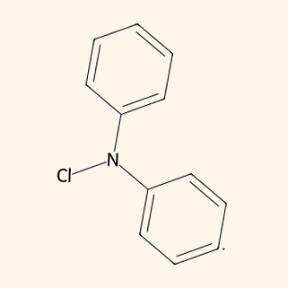 ClN(c1cc[c]cc1)c1ccccc1